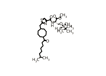 COC(=O)[C@H](CO[Si](C)(C)C(C)(C)C)NC(=O)c1csc(CC2CCCC(C(=O)CCCCCC(C)C)CCC2)n1